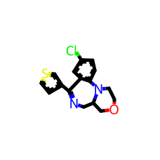 Clc1ccc2c(c1)C(c1ccsc1)=NCC1COCCN21